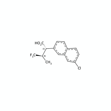 C[C@H]([C@H](C(=O)O)c1ccc2ccc(Cl)cc2c1)C(F)(F)F